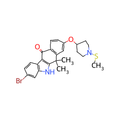 CSN1CCC(Oc2ccc3c(c2)C(C)(C)c2[nH]c4cc(Br)ccc4c2C3=O)CC1